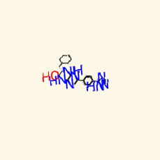 OC1Nc2ncc(-c3ccc(-c4ncn[nH]4)cc3)nc2N[C@H]1CC1CCCCC1